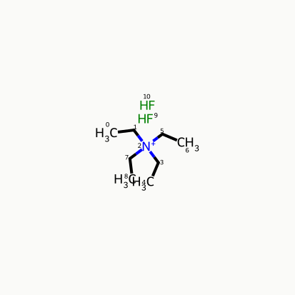 CC[N+](CC)(CC)CC.F.F